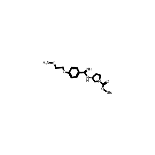 CC(C)(C)OC(=O)N1CC[C@H](NC(=N)c2ccc(OCCON)cc2)C1